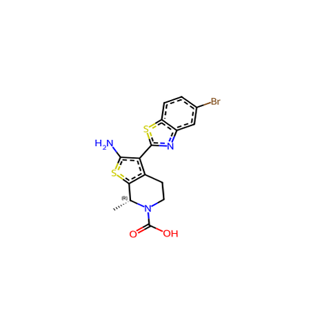 C[C@@H]1c2sc(N)c(-c3nc4cc(Br)ccc4s3)c2CCN1C(=O)O